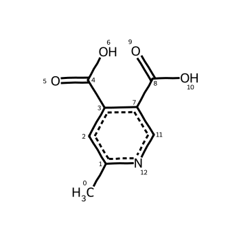 Cc1cc(C(=O)O)c(C(=O)O)cn1